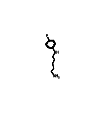 NCCCCCNc1ccc(F)cc1